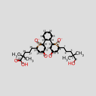 CC(C)(CO)CCCc1cc(=O)cc(-c2ccccc2-c2cc(=O)cc(CCCC(C)(C)C(=O)O)[s+]2[O-])[s+]1[O-]